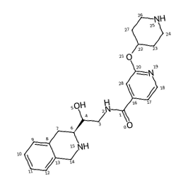 O=C(NCC(O)[C@@H]1Cc2ccccc2CN1)c1ccnc(OC2CCNCC2)c1